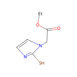 CCOC(=O)Cn1ccnc1S